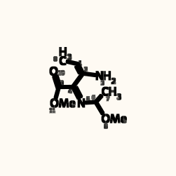 C/C=C(N)\C(=N/C(C)OC)C(=O)OC